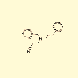 N#CCCN(C/C=C/c1ccccc1)Cc1ccccc1